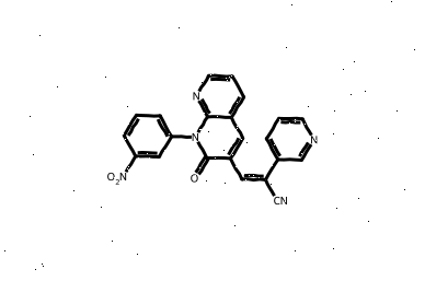 N#C/C(=C/c1cc2cccnc2n(-c2cccc([N+](=O)[O-])c2)c1=O)c1cccnc1